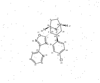 CN1[C@@H]2CC[C@H]1[C@@H](c1nc(-c3ccccn3)no1)[C@H](c1ccc(Cl)cc1)C2